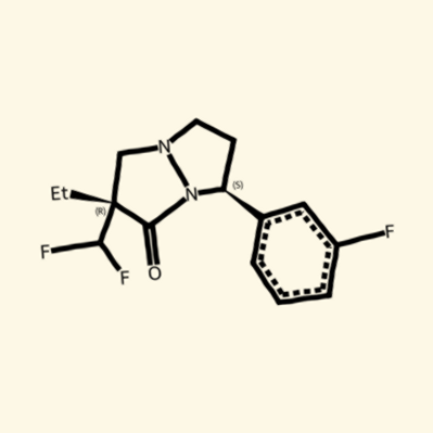 CC[C@@]1(C(F)F)CN2CC[C@@H](c3cccc(F)c3)N2C1=O